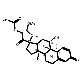 CCCC(=O)OCC(=O)[C@@]1(OCOC)CC[C@H]2[C@@H]3CCC4=CC(=O)C=C[C@]4(C)[C@@]3(F)[C@@H](O)C[C@@]21C